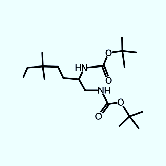 CCC(C)(C)CCC(CNC(=O)OC(C)(C)C)NC(=O)OC(C)(C)C